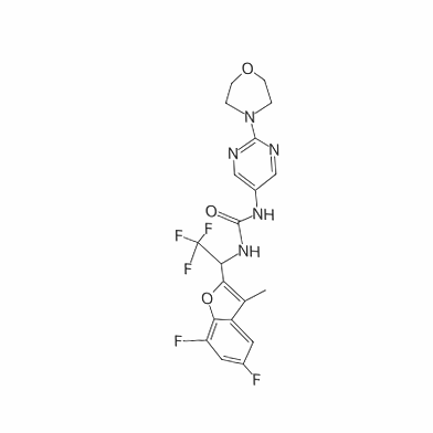 Cc1c(C(NC(=O)Nc2cnc(N3CCOCC3)nc2)C(F)(F)F)oc2c(F)cc(F)cc12